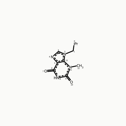 CC(C)Cn1cnc2c(=O)[nH]c(=O)n(C)c21